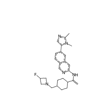 C=C(Nc1cc2cc(-c3cnc(C)n3C)ccc2cn1)C1CCC(CN2CC(F)C2)CC1